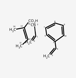 C=CC#N.C=Cc1ccccc1.CC=C(C)C(=O)O